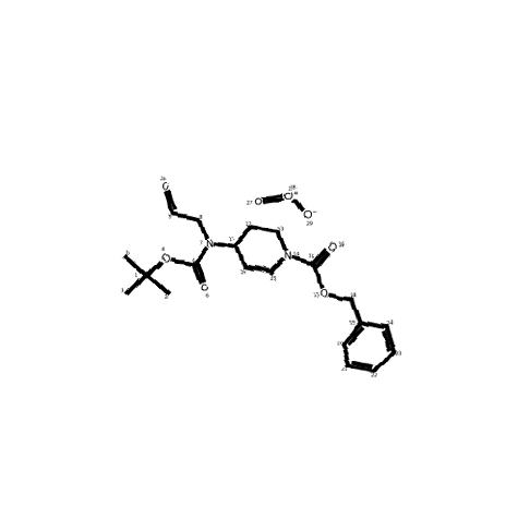 CC(C)(C)OC(=O)N(CC=O)C1CCN(C(=O)OCc2ccccc2)CC1.O=[O+][O-]